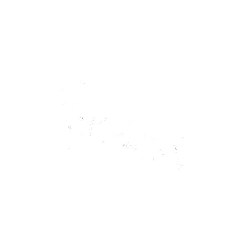 Cc1nn(-c2ccccc2)c2sc(C(=O)NC3CCN(C(=O)O)CC3)cc12